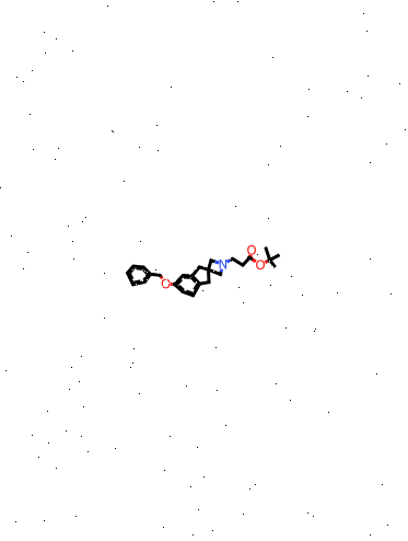 CC(C)(C)OC(=O)CCN1CC2(Cc3ccc(OCc4ccccc4)cc3C2)C1